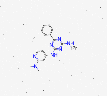 CC(C)Nc1nc(Nc2ccnc(N(C)C)c2)nc(-c2ccccc2)n1